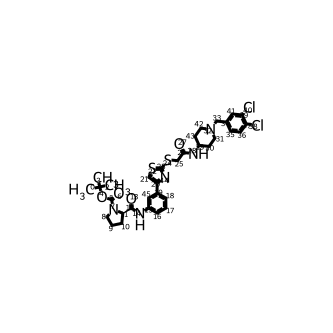 CC(C)(C)OC(=O)N1CCC[C@@H]1C(=O)Nc1cccc(-c2csc(SCC(=O)NC3CCN(Cc4ccc(Cl)c(Cl)c4)CC3)n2)c1